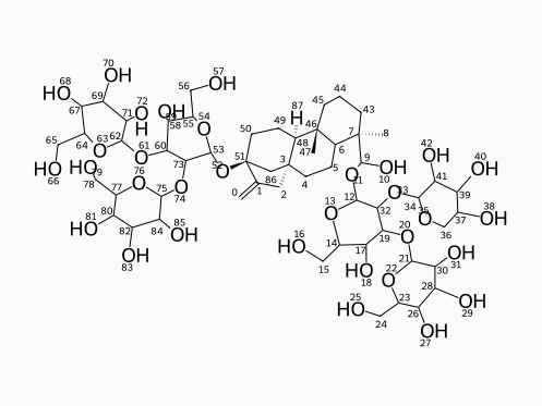 C=C1C[C@@]23CCC4[C@](C)(C(O)OC5OC(CO)C(O)C(OC6OC(CO)C(O)C(O)C6O)C5OC5OCC(O)C(O)C5O)CCC[C@@]4(C)[C@@H]2CC[C@]1(OC1OC(CO)C(O)C(OC2OC(CO)C(O)C(O)C2O)C1OC1OC(CO)C(O)C(O)C1O)C3